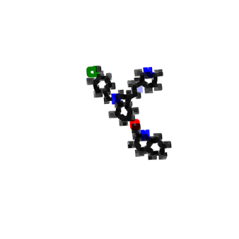 Clc1ccc(Cn2cc(/C=C/c3cccnc3)c3cc(OCc4ccc5ccccc5n4)ccc32)cc1